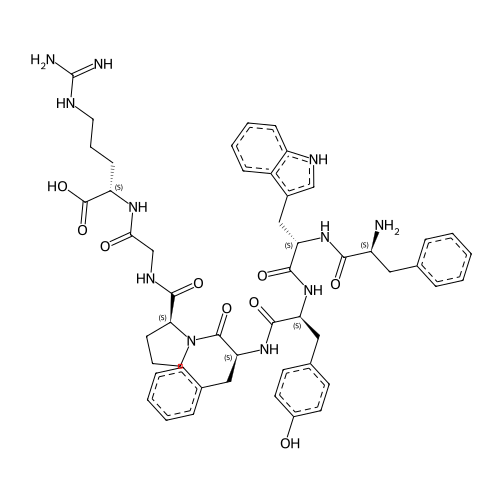 N=C(N)NCCC[C@H](NC(=O)CNC(=O)[C@@H]1CCCN1C(=O)[C@H](Cc1ccccc1)NC(=O)[C@H](Cc1ccc(O)cc1)NC(=O)[C@H](Cc1c[nH]c2ccccc12)NC(=O)[C@@H](N)Cc1ccccc1)C(=O)O